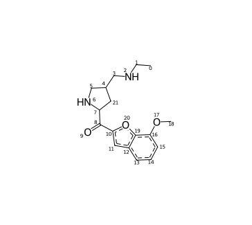 CCNCC1CNC(C(=O)c2cc3cccc(OC)c3o2)C1